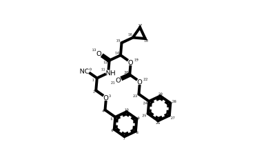 N#CC(COCc1ccccc1)NC(=O)C(CC1CC1)OC(=O)OCc1ccccc1